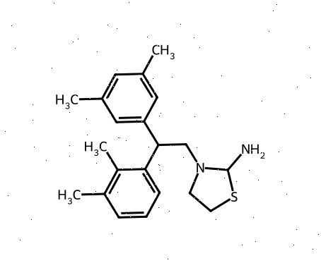 Cc1cc(C)cc(C(CN2CCSC2N)c2cccc(C)c2C)c1